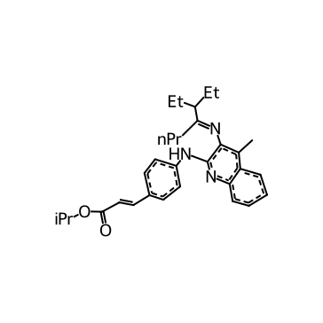 CCC/C(=N\c1c(Nc2ccc(/C=C/C(=O)OC(C)C)cc2)nc2ccccc2c1C)C(CC)CC